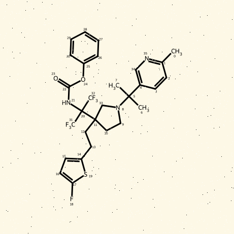 Cc1ccc(C(C)(C)N2CCC(CCc3ccc(F)s3)(C(NC(=O)Oc3ccccc3)(C(F)(F)F)C(F)(F)F)C2)cn1